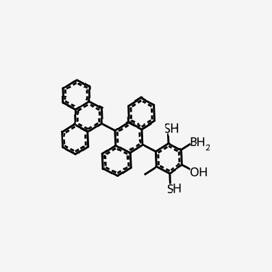 Bc1c(O)c(S)c(C)c(-c2c3ccccc3c(-c3cc4ccccc4c4ccccc34)c3ccccc23)c1S